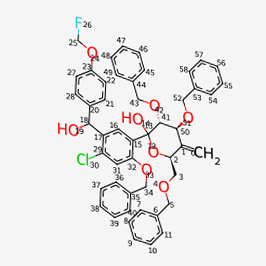 C=C1[C@@H](COCc2ccccc2)OC(O)(c2cc(C(O)c3ccc(OCF)cc3)c(Cl)cc2OCc2ccccc2)[C@H](OCc2ccccc2)[C@H]1OCc1ccccc1